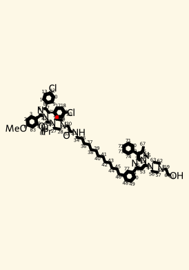 COc1ccc(C2=N[C@@H](c3ccc(Cl)cc3)[C@@H](c3ccc(Cl)cc3)N2C(=O)N2CCN(CC(=O)NCCCCCCCCCCCCCc3cccc(-c4cc(N5CCN(CCO)CC5)n5nc(C)c(-c6ccccc6)c5n4)c3)CC2)c(OC(C)C)c1